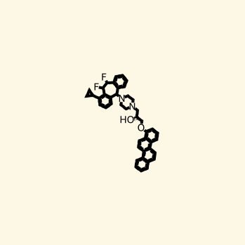 O[C@H](COc1cccc2c1ccc1c3ccccc3ccc21)CN1CCN(C2c3ccccc3C(F)C(F)c3c(C4CC4)cccc32)CC1